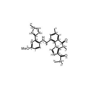 COc1ccc(NC(C)c2cc(C)cc3c(=O)n(C)c4c(C(=O)N(C)C)ncn4c23)c(-c2nnn(C)n2)n1